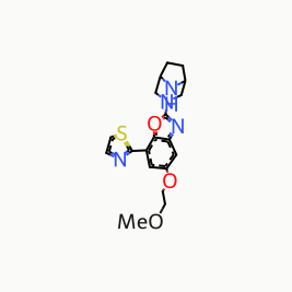 COCCOc1cc(-c2nccs2)c2oc(N3CC4CCC(C3)N4)nc2c1